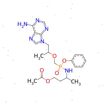 CC(=O)OCCC(C)NP(=O)(COC(C)Cn1cnc2c(N)ncnc21)Oc1ccccc1